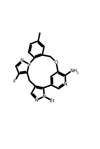 CCn1ncc2c1-c1cnc(N)c(c1)OCc1cc(C)ccc1-n1ncc(F)c1C2